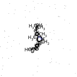 C=C1/C(F)=C\C=C(\c2c(C)cc(OCCC(C)(C)O)cc2C)CCC[C@H]1Oc1ccc2c(c1)OC[C@H]2CC(=O)O